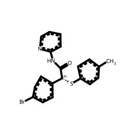 Cc1ccc(S[C@@H](C(=O)Nc2ccccn2)c2ccc(Br)cc2)cc1